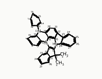 CC1(C)C2=C(B3c4ccccc4N(c4ccccc4)c4ccc5c6ccccc6n2c5c43)c2ccccc21